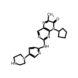 Cc1nc2cnc(Nc3ccc(N4CCNCC4)cn3)nc2n(C2CCCC2)c1=O